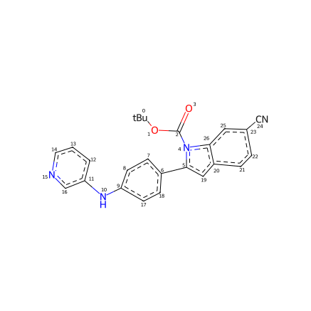 CC(C)(C)OC(=O)n1c(-c2ccc(Nc3cccnc3)cc2)cc2ccc(C#N)cc21